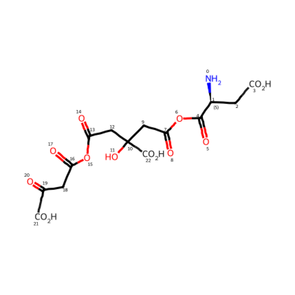 N[C@@H](CC(=O)O)C(=O)OC(=O)CC(O)(CC(=O)OC(=O)CC(=O)C(=O)O)C(=O)O